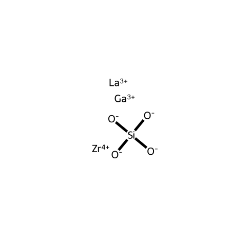 [Ga+3].[La+3].[O-][Si]([O-])([O-])[O-].[Zr+4]